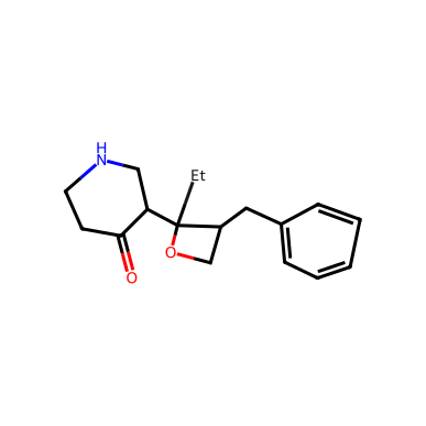 CCC1(C2CNCCC2=O)OCC1Cc1ccccc1